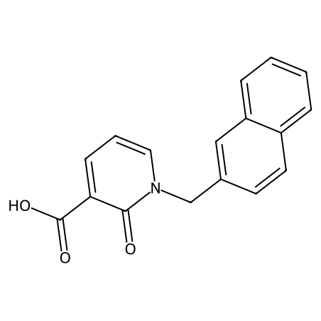 O=C(O)c1cccn(Cc2ccc3ccccc3c2)c1=O